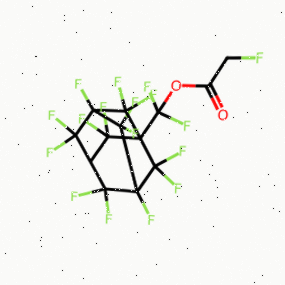 O=C(CF)OC(F)(F)C12C(F)(F)C3C(F)(F)C(F)(C(F)(F)C(F)(C3(F)F)C1(F)F)C2(F)F